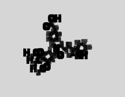 COc1cc(C(=O)N(CCCc2c[nH]c3ccccc23)Cc2ccc(CC(=O)O)cc2)cc(OC)c1C